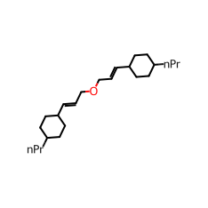 CCCC1CCC(C=CCOCC=CC2CCC(CCC)CC2)CC1